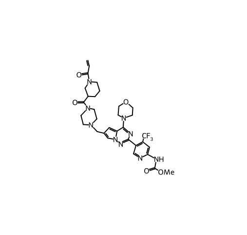 C=CC(=O)N1CCCC(C(=O)N2CCN(Cc3cc4c(N5CCOCC5)nc(-c5cnc(NC(=O)OC)cc5C(F)(F)F)nn4c3)CC2)C1